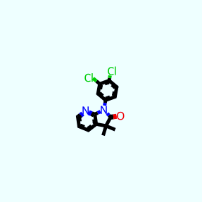 CC1(C)C(=O)N(c2ccc(Cl)c(Cl)c2)c2ncccc21